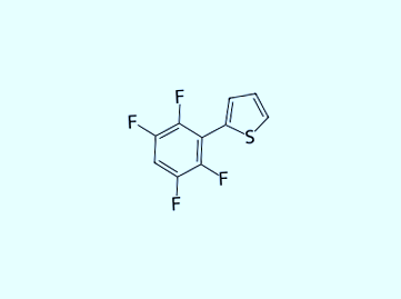 Fc1cc(F)c(F)c(-c2cccs2)c1F